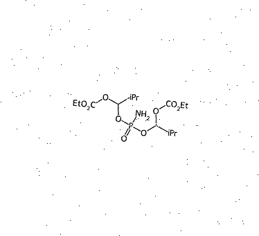 CCOC(=O)OC(OP(N)(=O)OC(OC(=O)OCC)C(C)C)C(C)C